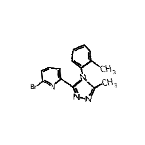 Cc1ccccc1-n1c(C)nnc1-c1cccc(Br)n1